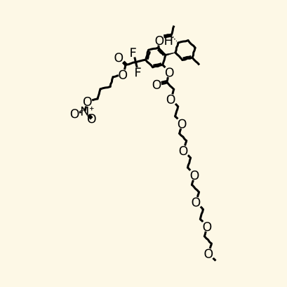 C=C(C)[C@@H]1CCC(C)=C[C@H]1c1c(O)cc(C(F)(F)C(=O)OCCCCO[N+](=O)[O-])cc1OC(=O)COCCOCCOCCOCCOCCOCCOC